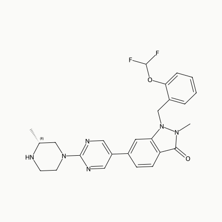 C[C@@H]1CN(c2ncc(-c3ccc4c(=O)n(C)n(Cc5ccccc5OC(F)F)c4c3)cn2)CCN1